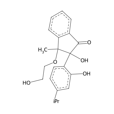 CC(C)c1ccc(C2(O)C(=O)c3ccccc3C2(C)OCCO)c(O)c1